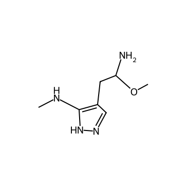 CNc1[nH]ncc1CC(N)OC